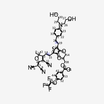 CC1(C)OC(=C(C#N)C#N)C(C#N)=C1/C=C/c1sc(/C=C/c2ccc(N(CCO)CCO)cc2)c2c1OC(COC(=O)c1ccc(OC(F)=C(F)F)cc1)CO2